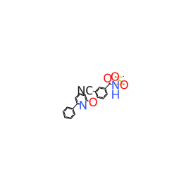 CS(=O)(=O)NC(=O)c1ccc(Oc2cccc(-c3ccccc3)n2)c(C#N)c1